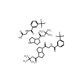 CC(C)(C)OC(=O)N1CCC2C1CCN2C(=O)CNC(=O)c1cccc(C(F)(F)F)c1.CC(C)(C)OC(=O)N1CCC2NCCC21.O=C(O)CNC(=O)c1cccc(C(F)(F)F)c1